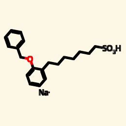 O=S(=O)(O)CCCCCCCc1ccccc1OCc1ccccc1.[Na]